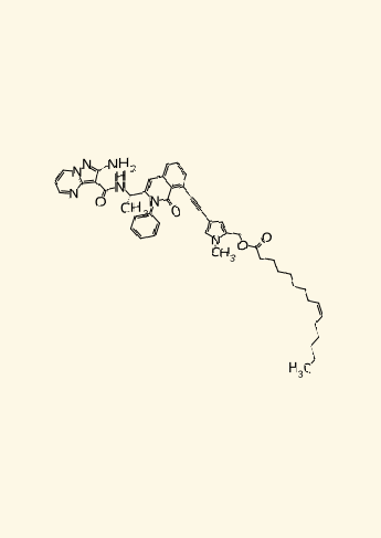 CCCCC/C=C\CCCCCCCC(=O)OCc1cc(C#Cc2cccc3cc([C@H](C)NC(=O)c4c(N)nn5cccnc45)n(-c4ccccc4)c(=O)c23)cn1C